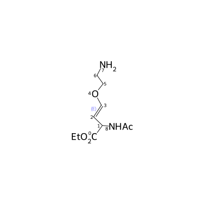 CCOC(=O)C(/C=C/OCCN)NC(C)=O